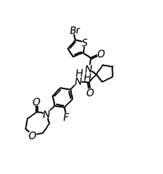 O=C(NC1(C(=O)Nc2ccc(N3CCOCCC3=O)c(F)c2)CCCC1)c1ccc(Br)s1